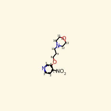 O=[N+]([O-])c1ccncc1OCCCN1CCOCC1